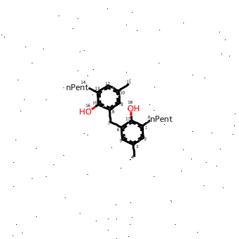 CCCCCc1cc(C)cc(Cc2cc(C)cc(CCCCC)c2O)c1O